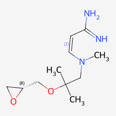 CN(/C=C\C(=N)N)CC(C)(C)OC[C@H]1CO1